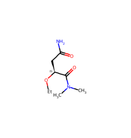 CCO[C@@H](CC(N)=O)C(=O)N(C)C